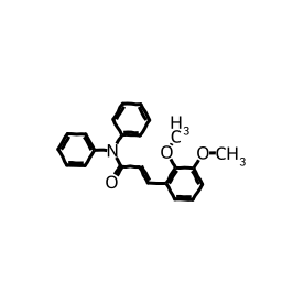 COc1cccc(/C=C/C(=O)N(c2ccccc2)c2ccccc2)c1OC